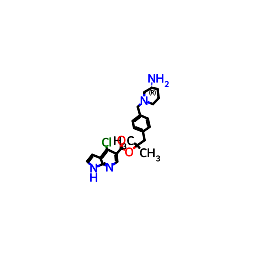 CC(C)(Cc1ccc(CN2CCC[C@@H](N)C2)cc1)OC(=O)c1cnc2[nH]ccc2c1Cl